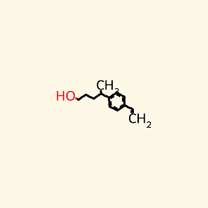 C=Cc1ccc(C(C)CCCO)cc1